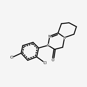 O=C1CN2CCCCC2=NN1c1ccc(Cl)cc1Cl